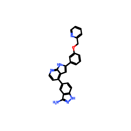 Nc1n[nH]c2ccc(-c3ccnc4[nH]c(-c5cccc(OCc6ccccn6)c5)cc34)cc12